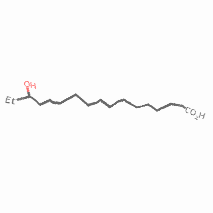 CCC(O)CCCCCCCCCCCCC(=O)O